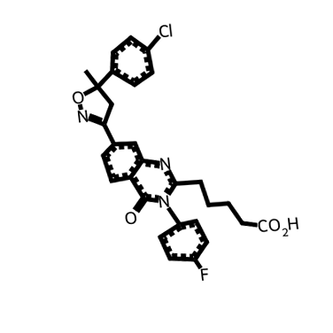 CC1(c2ccc(Cl)cc2)CC(c2ccc3c(=O)n(-c4ccc(F)cc4)c(CCCCC(=O)O)nc3c2)=NO1